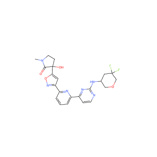 CN1CCC(O)(c2cc(-c3cccc(-c4ccnc(NC5COCC(F)(F)C5)n4)n3)no2)C1=O